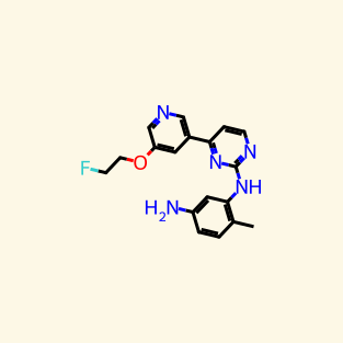 Cc1ccc(N)cc1Nc1nccc(-c2cncc(OCCF)c2)n1